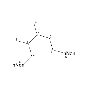 CCCCCCCCCCC[C](C)C(C)CCCCCCCCCC